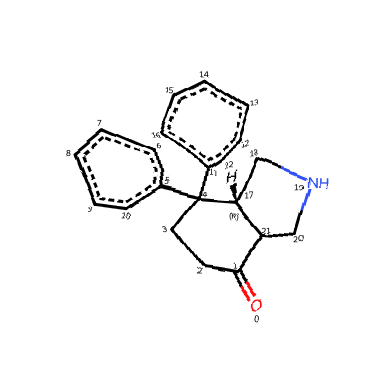 O=C1CCC(c2ccccc2)(c2ccccc2)[C@@H]2CNCC12